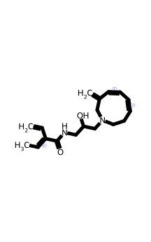 C=C/C(=C\C)C(=O)NCC(O)CN1CC/C=C\C=C/C(=C)C1